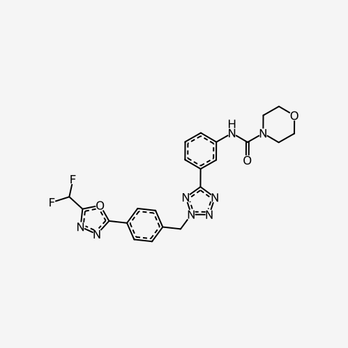 O=C(Nc1cccc(-c2nnn(Cc3ccc(-c4nnc(C(F)F)o4)cc3)n2)c1)N1CCOCC1